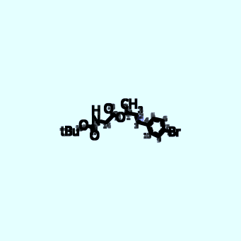 C[C@@H](/C=C/c1ccc(Br)cc1)OC(=O)CNC(=O)OC(C)(C)C